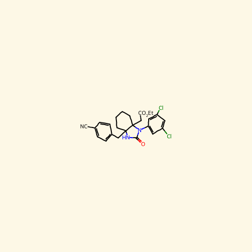 CCOC(=O)CC12CCCCC1(Cc1ccc(C#N)cc1)NC(=O)N2c1cc(Cl)cc(Cl)c1